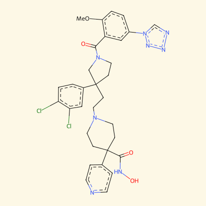 COc1ccc(-n2cnnn2)cc1C(=O)N1CCC(CCN2CCC(C(=O)NO)(c3ccncc3)CC2)(c2ccc(Cl)c(Cl)c2)C1